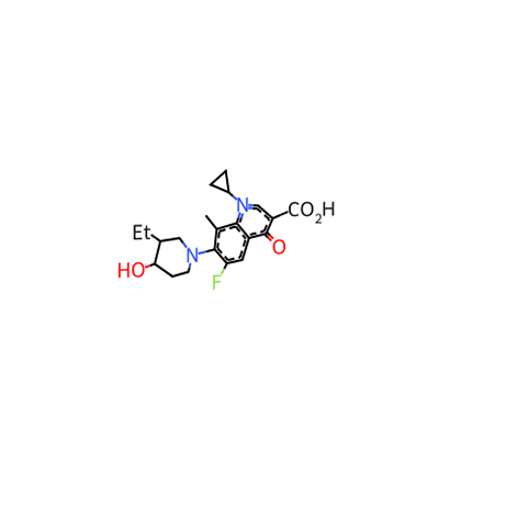 CCC1CN(c2c(F)cc3c(=O)c(C(=O)O)cn(C4CC4)c3c2C)CCC1O